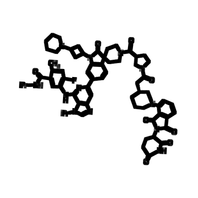 Cc1cc(F)c(Nc2nc(-c3ccc4c(c3)N(C3CC(N5CCCCC5)C3)C(=O)C43CCN(C(=O)C4CCN(C(=O)C[C@@H]5CCCN(c6cccc7c6C(=O)N(C6CCC(=O)NC6=O)C7=O)C5)C4)CC3)cc3ncn(C(C)C)c23)cc1C(=O)NC(C)C